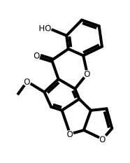 COc1cc2c(c3oc4cccc(O)c4c(=O)c13)C1C=COC1O2